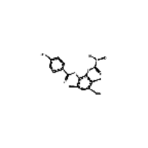 CCCc1ccc(C(=O)Oc2c(C)cc(C(C)(C)C)c(C)c2OC(=O)N(CC)CC)cc1